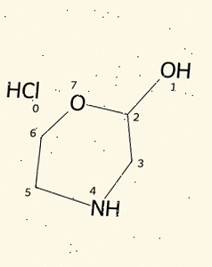 Cl.OC1CNCCO1